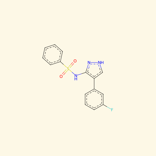 O=S(=O)(Nc1n[nH]cc1-c1cccc(F)c1)c1ccccc1